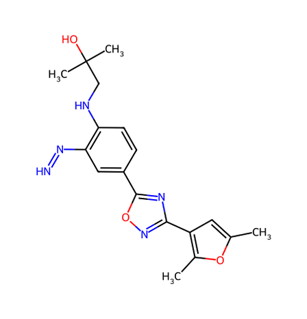 Cc1cc(-c2noc(-c3ccc(NCC(C)(C)O)c(N=N)c3)n2)c(C)o1